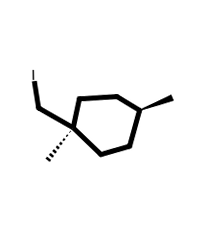 C[C@H]1CC[C@@](C)(CI)CC1